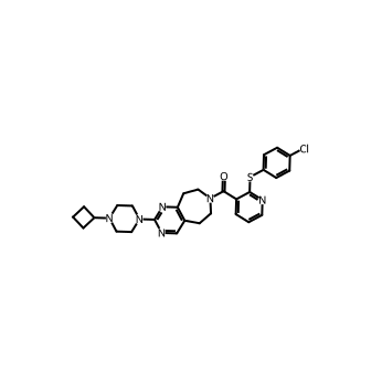 O=C(c1cccnc1Sc1ccc(Cl)cc1)N1CCc2cnc(N3CCN(C4CCC4)CC3)nc2CC1